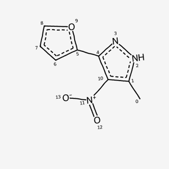 Cc1[nH]nc(-c2ccco2)c1[N+](=O)[O-]